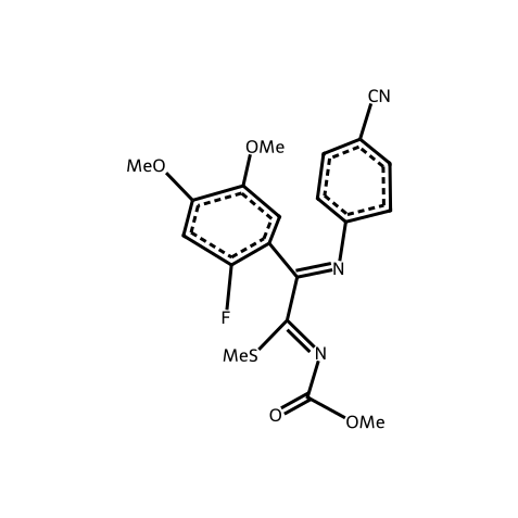 COC(=O)/N=C(SC)/C(=N/c1ccc(C#N)cc1)c1cc(OC)c(OC)cc1F